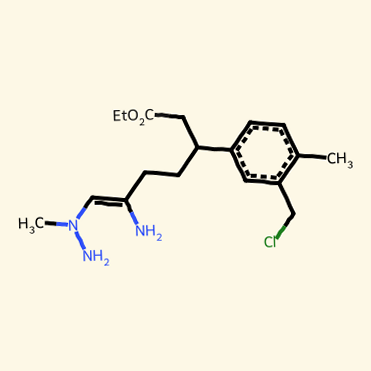 CCOC(=O)CC(CC/C(N)=C/N(C)N)c1ccc(C)c(CCl)c1